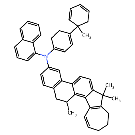 CC1Cc2ccc(N(C3=CC=C(C4(C)C=CC=CC4)CC3)c3cccc4ccccc34)cc2-c2ccc3c(c21)C1=C(CCCC=C1)C3(C)C